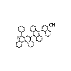 N#Cc1ccc(-c2c3ccccc3c(-c3cc4c(-c5ccccc5)nc5ccccc5c4c4ccccc34)c3ccccc23)c2ccccc12